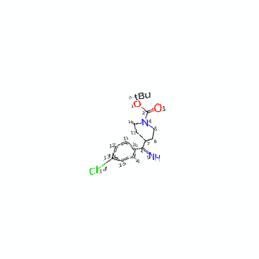 CC(C)(C)OC(=O)N1CCC(C(=N)c2ccc(Cl)cc2)CC1